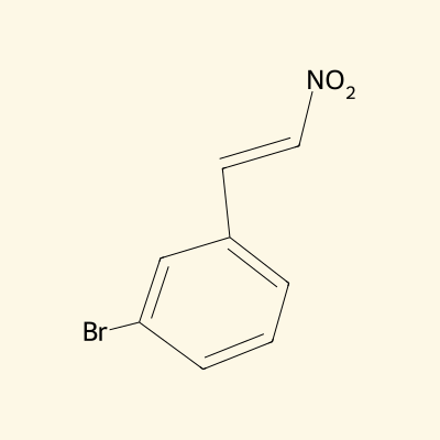 O=[N+]([O-])/C=C/c1cccc(Br)c1